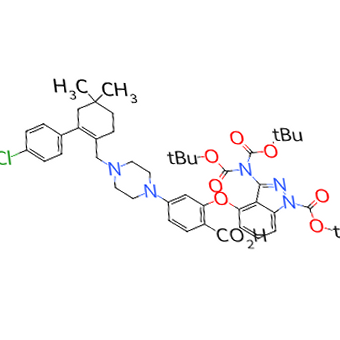 CC1(C)CCC(CN2CCN(c3ccc(C(=O)O)c(Oc4cccc5c4c(N(C(=O)OC(C)(C)C)C(=O)OC(C)(C)C)nn5C(=O)OC(C)(C)C)c3)CC2)=C(c2ccc(Cl)cc2)C1